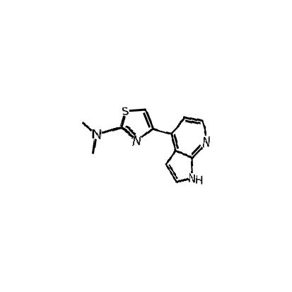 CN(C)c1nc(-c2ccnc3[nH]ccc23)cs1